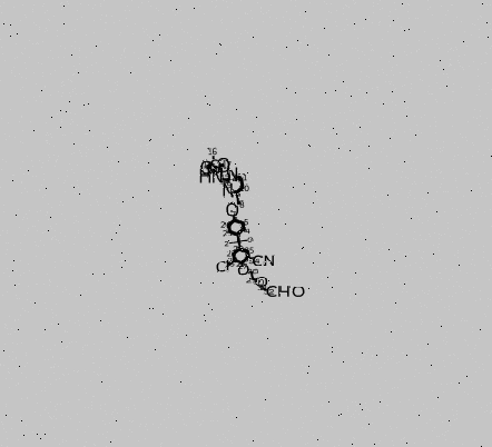 CC(C)(c1ccc(OCc2ccnc(NS(C)(=O)=O)n2)cc1)c1cc(Cl)c(OCCOCC=O)c(C#N)c1